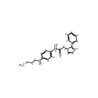 CCCCNc1ccc(NC(=O)Cn2ccnc2-c2ccccc2)cc1